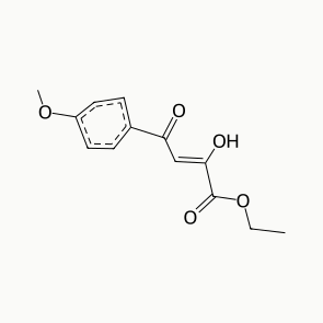 CCOC(=O)C(O)=CC(=O)c1ccc(OC)cc1